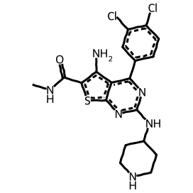 CNC(=O)c1sc2nc(NC3CCNCC3)nc(-c3ccc(Cl)c(Cl)c3)c2c1N